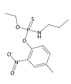 CCCNP(=S)(OCC)Oc1ccc(C)cc1[N+](=O)[O-]